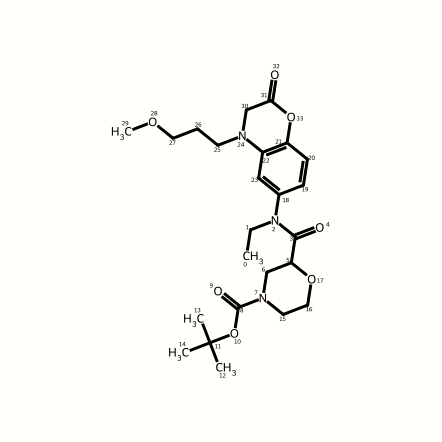 CCN(C(=O)C1CN(C(=O)OC(C)(C)C)CCO1)c1ccc2c(c1)N(CCCOC)CC(=O)O2